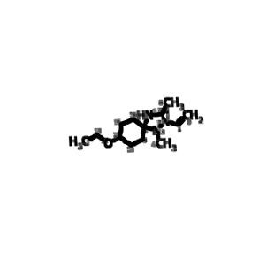 C=CNN(C)[C@]1(NCC)CC[C@@H](OCC)CC1